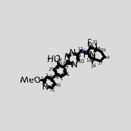 COc1cc(-c2ccc(-c3ncc(/C=C4\C[C@@]5(C)CCC[C@](C)(N5)[C@@H]4F)nn3)c(O)c2)ccn1